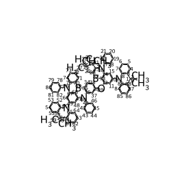 CC1(C)c2ccccc2N(c2cc3c4c(c2)N(c2ccccc2)C2=C(CC(C)(C)C2(C)C)B4c2cc4c(cc2O3)N(c2ccccc2)c2cc(N3c5ccccc5C(C)(C)c5ccccc53)cc3c2B4c2ccccc2N3c2ccccc2)c2ccccc21